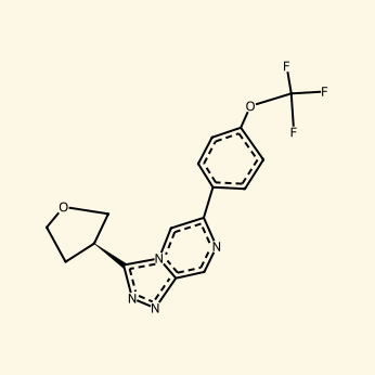 FC(F)(F)Oc1ccc(-c2cn3c([C@H]4CCOC4)nnc3cn2)cc1